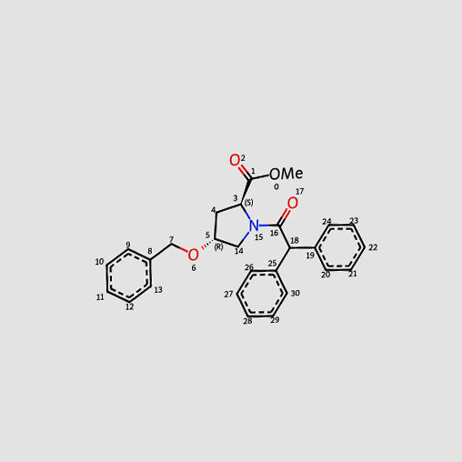 COC(=O)[C@@H]1C[C@@H](OCc2ccccc2)CN1C(=O)C(c1ccccc1)c1ccccc1